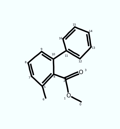 COC(=O)c1c(C)cccc1-c1ccccc1